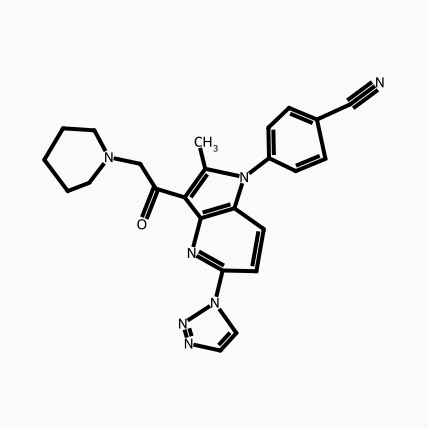 Cc1c(C(=O)CN2CCCCC2)c2nc(-n3ccnn3)ccc2n1-c1ccc(C#N)cc1